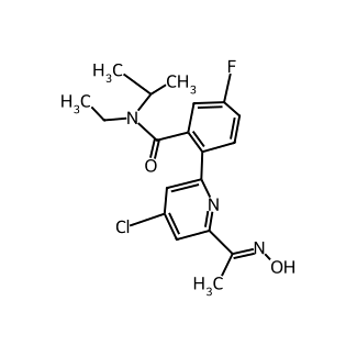 CCN(C(=O)c1cc(F)ccc1-c1cc(Cl)cc(C(C)=NO)n1)C(C)C